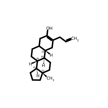 C=CCC1=C(O)CC2CC[C@@H]3[C@H](CC[C@]4(C)CCC[C@@H]34)[C@H]2C1